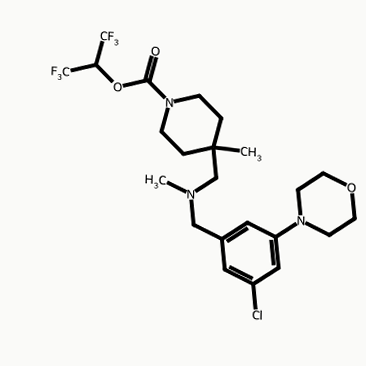 CN(Cc1cc(Cl)cc(N2CCOCC2)c1)CC1(C)CCN(C(=O)OC(C(F)(F)F)C(F)(F)F)CC1